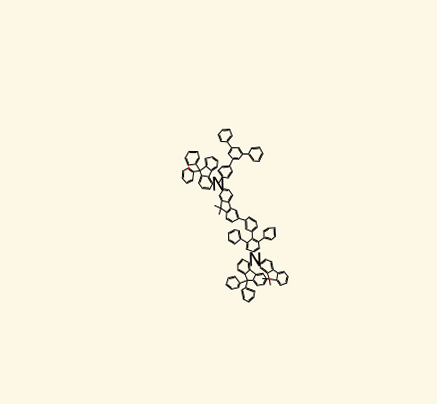 CC1(C)c2ccccc2-c2ccc(N(c3cc(-c4ccccc4)c(-c4cccc(-c5ccc6c(c5)-c5ccc(N(c7ccc(-c8cc(-c9ccccc9)cc(-c9ccccc9)c8)cc7)c7cccc8c7-c7ccccc7C8(c7ccccc7)c7ccccc7)cc5C6(C)C)c4)c(-c4ccccc4)c3)c3cccc4c3-c3ccccc3C4(c3ccccc3)c3ccccc3)cc21